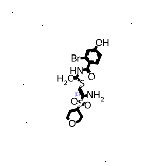 C=C(NC(=O)c1ccc(O)cc1Br)S/C=C(\N)S(=O)(=O)C1CCOCC1